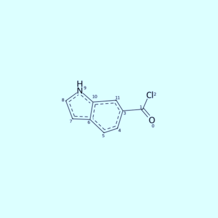 O=C(Cl)c1ccc2cc[nH]c2c1